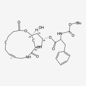 CC(C)(C)OC(=O)NC(Cc1ccccc1)C(=O)O[C@@H]1C[C@]2(O)C[C@@H](OC(=O)CCCC/C=C\CNC2=O)[C@@H]1O